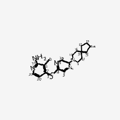 Cc1c(Sc2cnc(N3CCC4(CCCC4)CC3)cn2)ccnc1N